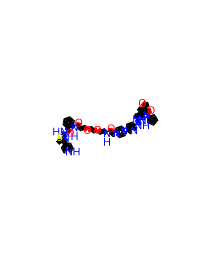 CC(=O)c1c(C)c2cnc(Nc3ccc(N4CCN(CC(=O)NCCOCCOCCC(=O)Nc5ccccc5C(=O)Nc5nc(C6CCNCC6)c(C)s5)CC4)cn3)nc2n(C2CCCC2)c1=O